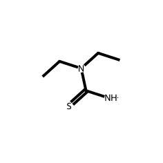 CCN(CC)C([NH])=S